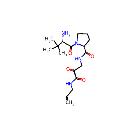 C=CCNC(=O)C(=O)CNC(=O)[C@@H]1CCCN1C(=O)[C@@H](N)C(C)(C)C